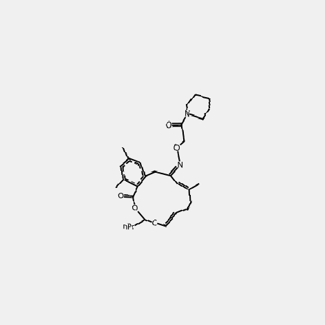 CCCC1C/C=C/CC/C(C)=C/C(=N/OCC(=O)N2CCCCC2)Cc2cc(C)cc(C)c2C(=O)O1